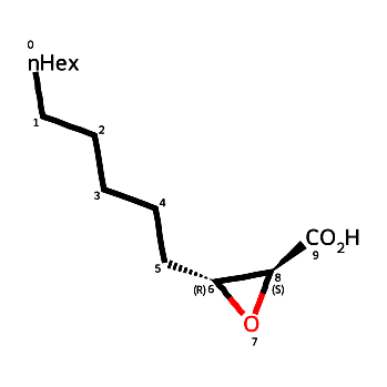 CCCCCCCCCCC[C@H]1O[C@@H]1C(=O)O